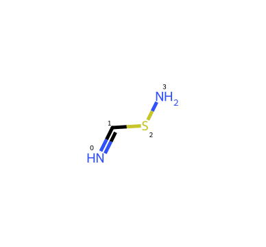 N=CSN